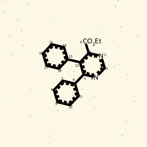 CCOC(=O)c1ncnc(-c2ccccc2)c1-c1ccccc1